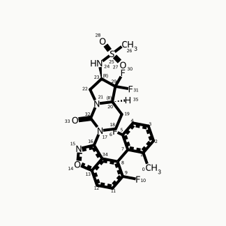 Cc1cccc(F)c1-c1c(F)ccc2onc(N3CC[C@H]4N(C[C@@H](NS(C)(=O)=O)C4(F)F)C3=O)c12